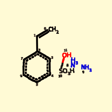 C=Cc1ccccc1.N.N.O=S(=O)(O)O